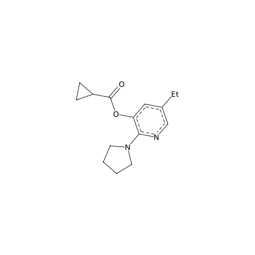 CCc1cnc(N2CCCC2)c(OC(=O)C2CC2)c1